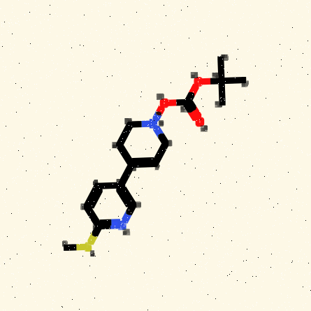 CSc1ccc(C2=CCN(OC(=O)OC(C)(C)C)CC2)cn1